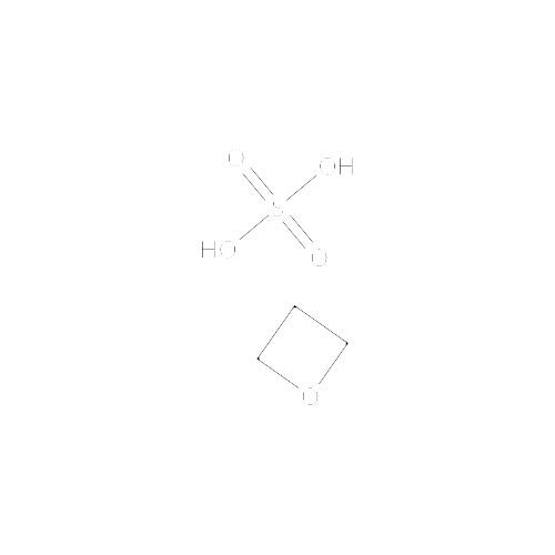 C1COC1.O=S(=O)(O)O